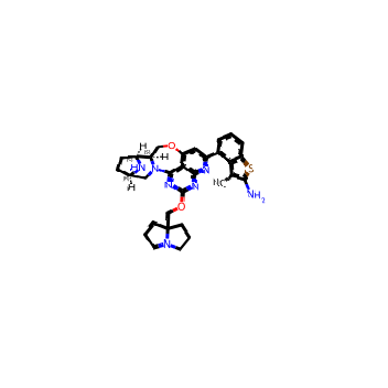 N#Cc1c(N)sc2cccc(-c3cc4c5c(nc(OCC67CCCN6CCC7)nc5n3)N3C[C@H]5CC[C@H](N5)[C@H]3CO4)c12